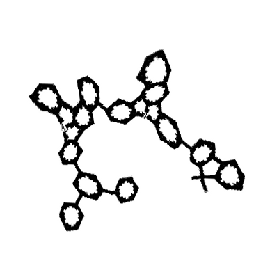 CC1(C)c2ccccc2-c2ccc(-c3ccc4c(c3)c3cc5ccccc5c5c6cc(-c7cccc8c7cc7c9cc(-c%10cc(-c%11ccccc%11)cc(-c%11ccccc%11)c%10)ccc9n9c%10ccccc%10c8c79)ccc6n4c35)cc21